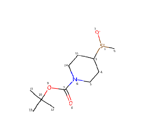 C[S+]([O-])C1CCN(C(=O)OC(C)(C)C)CC1